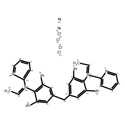 CC=[N+](c1ccccn1)c1c(C(C)C)cc(Cc2cc(C(C)C)c([N+](=CC)c3ccccn3)c(C(C)C)c2)cc1C(C)C.[Cl-].[Cl-].[Cl-].[Cl-].[Ni].[Ni]